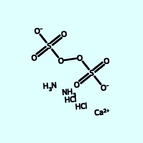 Cl.Cl.N.N.O=S(=O)([O-])OOS(=O)(=O)[O-].[Ca+2]